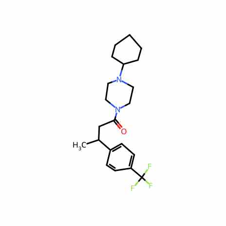 CC(CC(=O)N1CCN(C2CCCCC2)CC1)c1ccc(C(F)(F)F)cc1